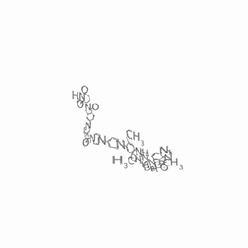 CCc1cc(Nc2ncc(Br)c(Nc3ccc4nccnc4c3P(C)(C)=O)n2)c(OC)cc1N1CCC(N2CCN(C(=O)[C@@H]3CCN(c4ccc5c(c4)CN(C4CCC(=O)NC4=O)C5=O)C3)CC2)CC1